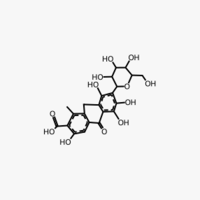 Cc1c2c(cc(O)c1C(=O)O)C(=O)c1c(O)c(O)c(C3OC(CO)C(O)C(O)C3O)c(O)c1C2